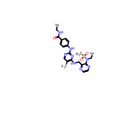 [2H]CNC(=O)c1ccc(Nc2ncc(C(F)(F)F)c(NCc3nccnc3N(C[2H])S(C)(=O)=O)n2)cc1